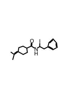 CC(C)=C1CCC(C(=O)NC(I)Cc2ccccc2)CC1